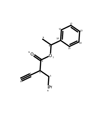 C#CC(CC(C)C)C(=O)OC(C)c1ccccc1